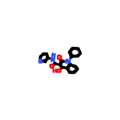 O=C(Nc1cccnc1)c1c(O)c2ccccc2n(-c2ccccc2)c1=O